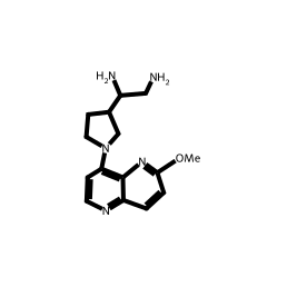 COc1ccc2nccc(N3CCC(C(N)CN)C3)c2n1